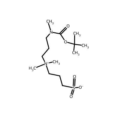 CN(CCC[N+](C)(C)CCCS(=O)(=O)[O-])C(=O)OC(C)(C)C